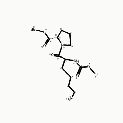 CC(C)(C)OC(=O)NC(CCCCN)C(=O)N1CCC[C@H]1C(=O)OC(C)(C)C